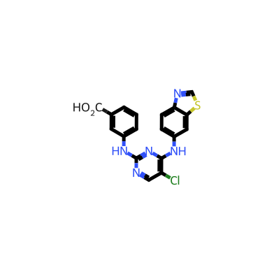 O=C(O)c1cccc(Nc2ncc(Cl)c(Nc3ccc4ncsc4c3)n2)c1